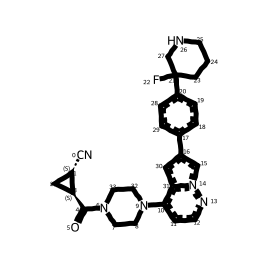 N#C[C@H]1C[C@@H]1C(=O)N1CCN(c2ccnn3cc(-c4ccc(C5(F)CCCNC5)cc4)cc23)CC1